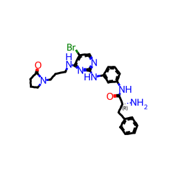 N[C@H](Cc1ccccc1)C(=O)Nc1cccc(Nc2ncc(Br)c(NCCCN3CCCC3=O)n2)c1